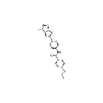 CCOc1ccc(C(=O)Nc2ccc(-c3nn4c(C)nnc4s3)cc2)cc1